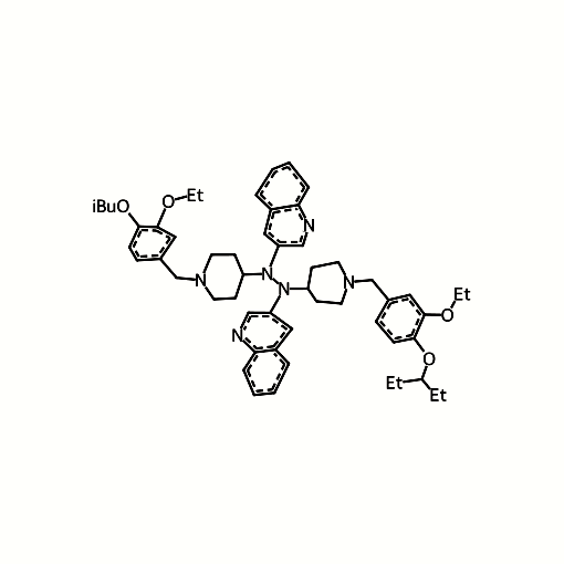 CCOc1cc(CN2CCC(N(c3cnc4ccccc4c3)N(c3cnc4ccccc4c3)C3CCN(Cc4ccc(OC(CC)CC)c(OCC)c4)CC3)CC2)ccc1OCC(C)C